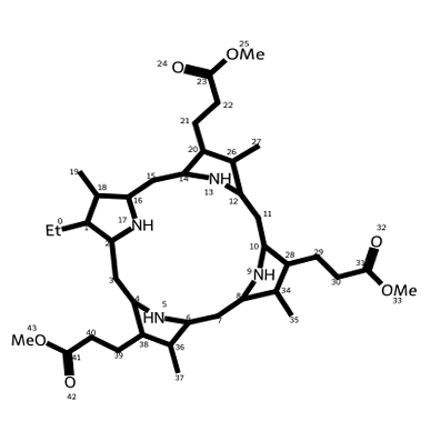 CCC1C2CC3NC(CC4NC(CC5NC(CC(N2)C1C)C(CCC(=O)OC)C5C)C(CCC(=O)OC)C4C)C(C)C3CCC(=O)OC